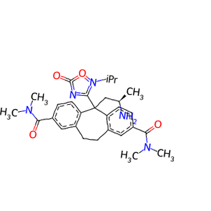 CC(C)n1oc(=O)nc1C1(C[C@@H](C)N)c2ccc(C(=O)N(C)C)cc2CCc2cc(C(=O)N(C)C)ccc21